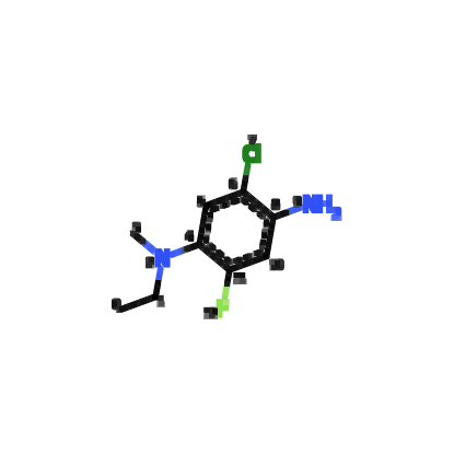 CCN(C)c1cc(Cl)c(N)cc1F